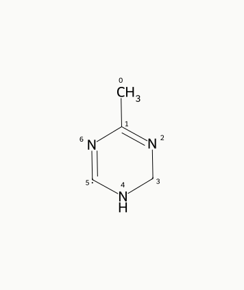 CC1=NCN[C]=N1